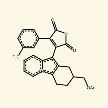 CC(=O)OCC1CCc2c(c(C3=C(c4cccc(C(F)(F)F)c4)C(=O)OC3=O)c3ccccn23)C1